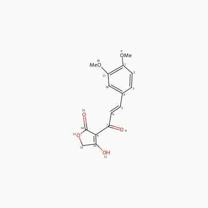 COc1ccc(C=CC(=O)C2=C(O)COC2=O)cc1OC